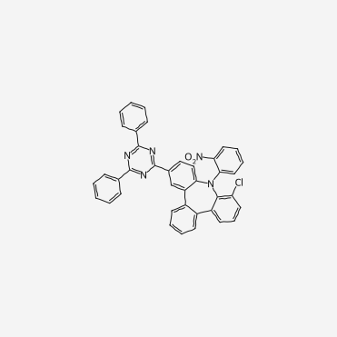 O=[N+]([O-])c1ccccc1N1c2ccc(-c3nc(-c4ccccc4)nc(-c4ccccc4)n3)cc2-c2ccccc2-c2cccc(Cl)c21